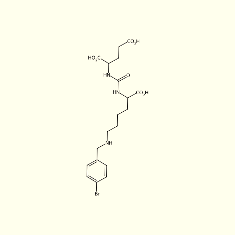 O=C(O)CCC(NC(=O)NC(CCCCNCc1ccc(Br)cc1)C(=O)O)C(=O)O